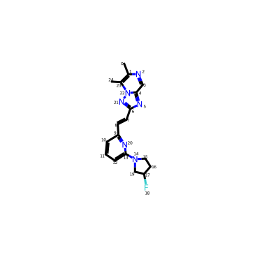 Cc1ncc2nc(C=Cc3cccc(N4CCC(F)C4)n3)nn2c1C